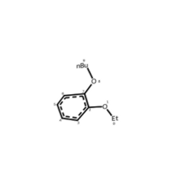 [CH2]COc1ccccc1OCCCC